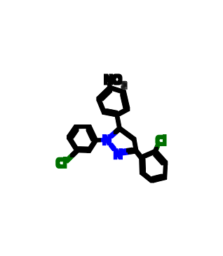 O=[N+]([O-])c1ccc(C2CC(c3ccccc3Cl)=NN2c2cccc(Cl)c2)cc1